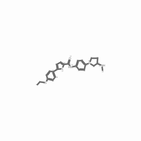 CCSc1ccc(-c2ccc(C(=O)Nc3ccc(N4CCC(NC)C4)cc3)s2)cc1